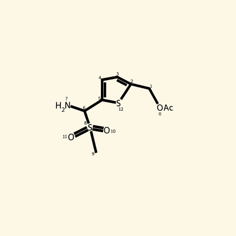 CC(=O)OCc1ccc(C(N)S(C)(=O)=O)s1